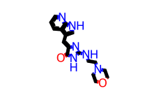 O=C1NC(NCCN2CCOCC2)=N/C1=C\c1c[nH]c2ncccc12